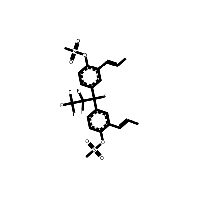 CC=Cc1cc(C(F)(c2ccc(OS(C)(=O)=O)c(C=CC)c2)C(F)(F)C(F)(F)F)ccc1OS(C)(=O)=O